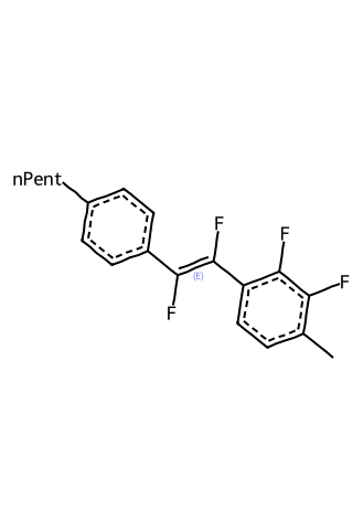 CCCCCc1ccc(/C(F)=C(\F)c2ccc(C)c(F)c2F)cc1